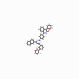 c1ccc2cc(-c3cc(-c4cccc5c4oc4ccccc45)nc(-c4ccc(-c5nc6oc7ccccc7c6c6ccccc56)cc4)n3)ccc2c1